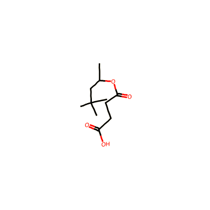 CC(CC(C)(C)C)OC(=O)CCC(=O)O